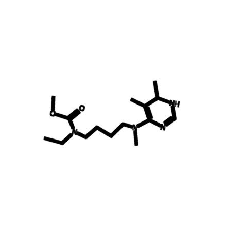 CCN(CCCCN(C)C1=C(C)C(C)NC=N1)C(=O)OC